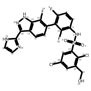 O=S(=O)(Nc1ccc(F)c(-c2ccc3c(-c4ncc[nH]4)n[nH]c3c2F)c1F)c1cc(Cl)cc(CO)c1Cl